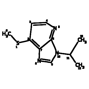 CSc1ccnc2c1ncn2C(C)C